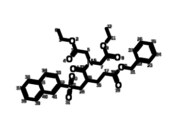 CCOC(=O)CN(CC(=O)OCC)C(=O)C(CCC(=O)OCc1ccccc1)CS(=O)(=O)c1ccc2ccccc2c1